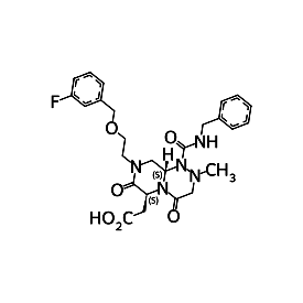 CN1CC(=O)N2[C@@H](CC(=O)O)C(=O)N(CCOCc3cccc(F)c3)C[C@@H]2N1C(=O)NCc1ccccc1